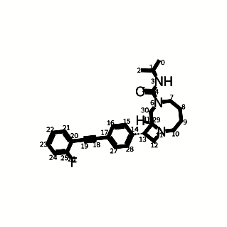 CC(C)NC(=O)N1CCCCN2C[C@H](c3ccc(C#Cc4ccccc4F)cc3)[C@@H]2C1